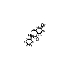 O=C(Nc1cccnc1)c1ccc(Br)cc1F